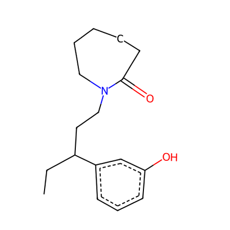 CCC(CCN1CCCCCC1=O)c1cccc(O)c1